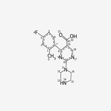 Cc1cc(F)ccc1-c1nc(N2CCNCC2)ncc1C(=O)O